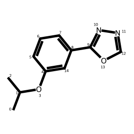 CC(C)Oc1cccc(-c2nnco2)c1